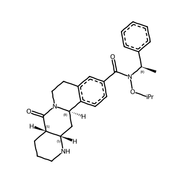 CC(C)ON(C(=O)c1ccc2c(c1)CCN1C(=O)[C@H]3CCCN[C@H]3C[C@H]21)[C@H](C)c1ccccc1